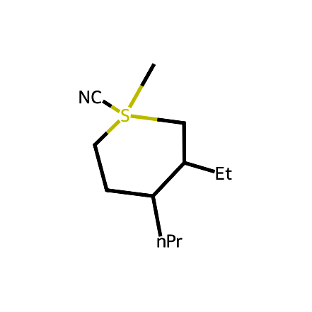 CCCC1CCS(C)(C#N)CC1CC